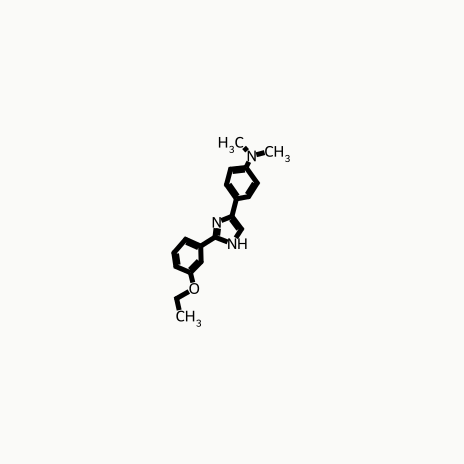 CCOc1cccc(-c2nc(-c3ccc(N(C)C)cc3)c[nH]2)c1